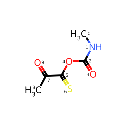 CNC(=O)OC(=S)C(C)=O